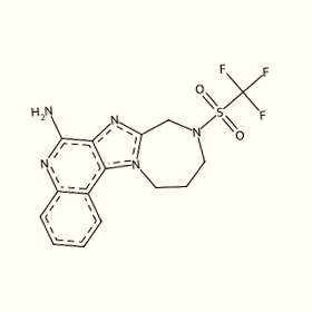 Nc1nc2ccccc2c2c1nc1n2CCCN(S(=O)(=O)C(F)(F)F)C1